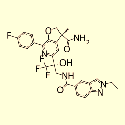 CCn1cc2cc(C(=O)NC[C@](O)(c3cc4c(c(-c5ccc(F)cc5)n3)OC[C@]4(C)C(N)=O)C(F)(F)F)ccc2n1